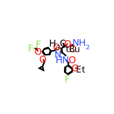 CCOc1cc(F)ccc1C(=O)NCc1nc(-c2ccc(OC(F)F)c(OCC3CC3)c2)oc1C(C)(OC(N)=O)C(C)(C)C